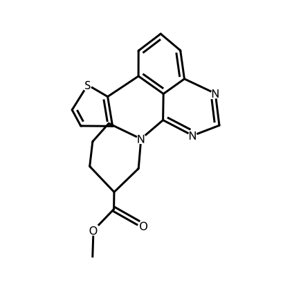 COC(=O)C1CCCN(c2ncnc3cccc(-c4cccs4)c23)C1